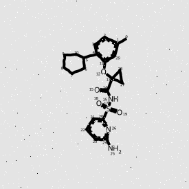 Cc1ccc(C2CCCCC2)c(OC2(C(=O)NS(=O)(=O)c3cccc(N)n3)CC2)c1